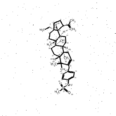 C=C(C)[C@@H]1CC[C@]2(CC)CC[C@]3(C)[C@H](CC[C@@H]4[C@@]5(C)CC=C(c6ccc(NS(C)(=O)=O)cc6)C(C)(C)[C@@H]5CC[C@]43C)[C@@H]12